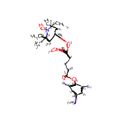 CC1(C)CC(OC(=O)CCCC(=O)Oc2c(I)cc(I)cc2I)CC(C)(C)N1O